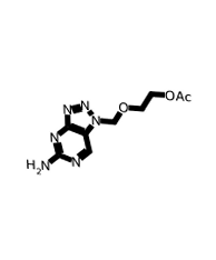 CC(=O)OCCOCn1nnc2nc(N)ncc21